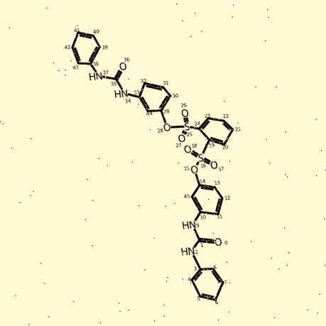 O=C(Nc1ccccc1)Nc1cccc(OS(=O)(=O)c2ccccc2S(=O)(=O)Oc2cccc(NC(=O)Nc3ccccc3)c2)c1